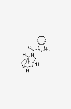 Cn1cc(C(=O)N2C[C@@H]3C[C@H]4N5CCC34[C@@H]2C5)c2ccccc21